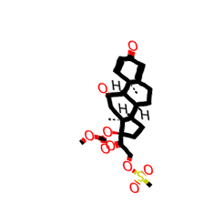 COC(=O)O[C@]1(C(=O)COS(C)(=O)=O)CC[C@H]2[C@@H]3CCC4=CC(=O)C=C[C@]4(C)[C@H]3C(=O)C[C@@]21C